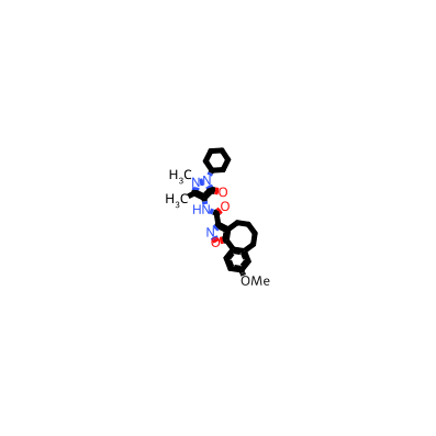 COc1ccc2c(c1)CCCCc1c(C(=O)Nc3c(C)n(C)n(C4CCCCC4)c3=O)noc1-2